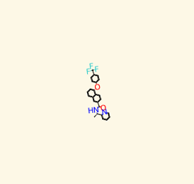 C[C@@H](NC(=O)c1ccc2c(Oc3ccc(C(F)(F)F)cc3)cccc2c1)c1ccccn1